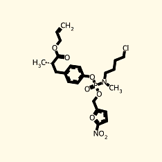 C=CCOC(=O)[C@@H](C)Cc1ccc(OP(=O)(OCc2ccc([N+](=O)[O-])o2)N(C)CCCCCl)cc1